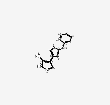 N#Cc1[nH]ncc1-c1csc(Nc2ccccn2)n1